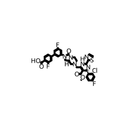 COC(=O)C1=C(CN2CCN3C(=O)N(c4cc(F)cc(-c5ccc(C(=O)O)c(F)c5)c4)C[C@@H]3C2)NC(c2nccs2)=N[C@H]1c1ccc(F)cc1Cl